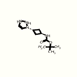 CC(C)(C)OC(=O)N[C@H]1C[C@H](N2C=CNN2)C1